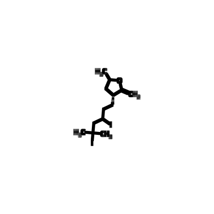 C=C1OC(C)C[C@H]1CCC(I)CC(C)(C)I